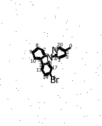 Cc1ccc(-n2c3ccccc3c3ccc(Br)cc32)nc1